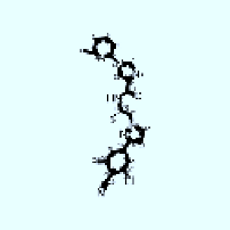 Cc1cccc(-n2cnc(C(=O)N[C@@H](C)Cn3ccc(-c4cc(F)c(C#N)c(Cl)c4)n3)c2)n1